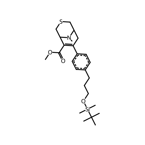 COC(=O)C1=C(c2ccc(CCCO[Si](C)(C)C(C)(C)C)cc2)CC2CSCC1N2C